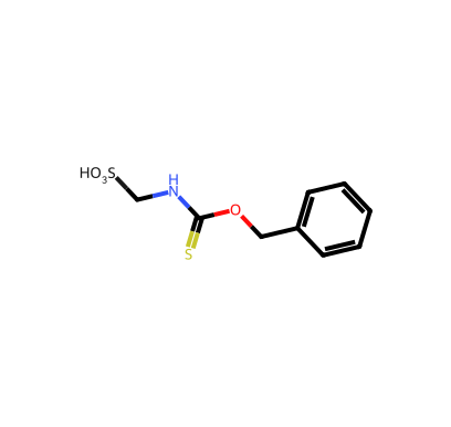 O=S(=O)(O)CNC(=S)OCc1ccccc1